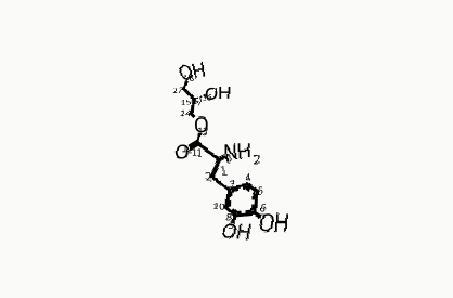 NC(Cc1ccc(O)c(O)c1)C(=O)OC[C@@H](O)CO